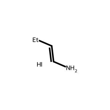 CCC=CN.I